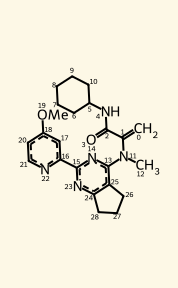 C=C(C(=O)NC1CCCCC1)N(C)c1nc(-c2cc(OC)ccn2)nc2c1CCC2